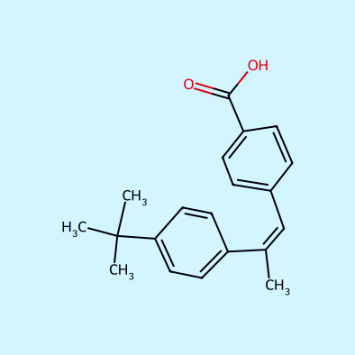 CC(=Cc1ccc(C(=O)O)cc1)c1ccc(C(C)(C)C)cc1